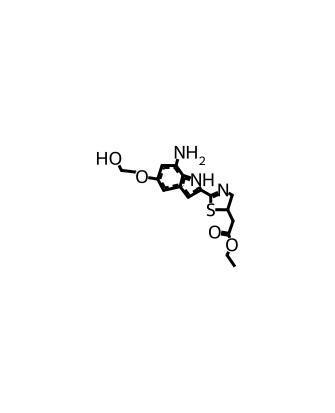 CCOC(=O)CC1CN=C(c2cc3cc(OCCO)cc(N)c3[nH]2)S1